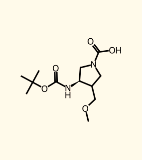 COCC1CN(C(=O)O)C[C@@H]1NC(=O)OC(C)(C)C